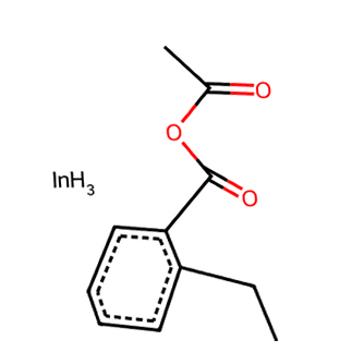 CCc1ccccc1C(=O)OC(C)=O.[InH3]